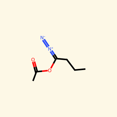 CCCC(=[N+]=[N-])OC(C)=O